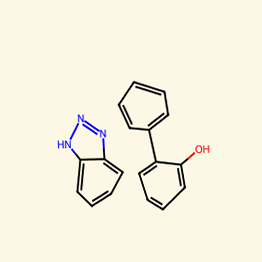 Oc1ccccc1-c1ccccc1.c1ccc2[nH]nnc2c1